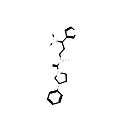 CN(C)C(CCNC(=O)N1CC[C@@H](c2ccccc2)C1)c1ccsc1